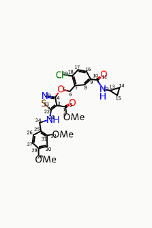 COC(=O)c1c(OCc2cc(C(=O)NC3CC3)ccc2Cl)nsc1NCc1ccc(OC)cc1OC